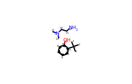 CC(C)(C)c1ccccc1O.CN(C)CCN